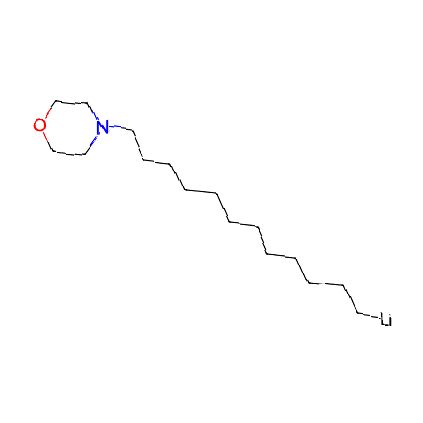 [Li][CH2]CCCCCCCCCCCN1CCOCC1